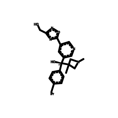 CC(C)c1ccc([C@](O)(c2cncc(-c3nc(CO)no3)c2)C2(C)CN(C)C2)cc1